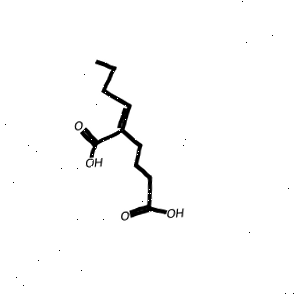 CCCC=C(CCCC(=O)O)C(=O)O